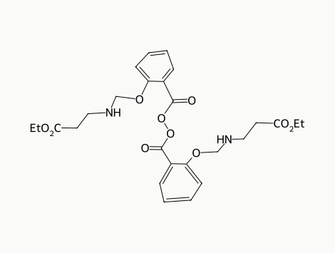 CCOC(=O)CCNCOc1ccccc1C(=O)OOC(=O)c1ccccc1OCNCCC(=O)OCC